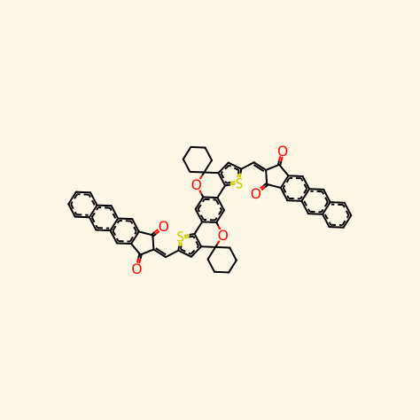 O=C1C(=Cc2cc3c(s2)-c2cc4c(cc2OC32CCCCC2)-c2sc(C=C3C(=O)c5cc6cc7ccccc7cc6cc5C3=O)cc2C2(CCCCC2)O4)C(=O)c2cc3cc4ccccc4cc3cc21